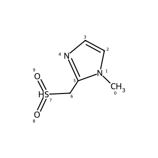 Cn1ccnc1C[SH](=O)=O